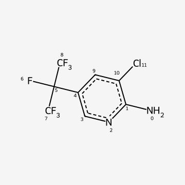 Nc1ncc(C(F)(C(F)(F)F)C(F)(F)F)cc1Cl